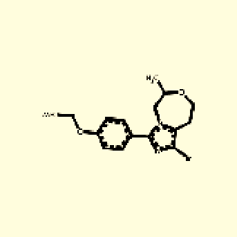 COCOc1ccc(-c2nc(Br)c3n2CC(C)OCC3)cc1